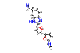 [C-]#[N+]c1ccc(-c2ccc(-c3nc4ccc(C#N)cc4[nH]3)o2)o1